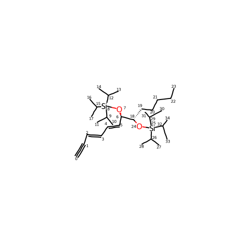 C#C/C=C/C=C/[C@@H](O[Si](C(C)C)(C(C)C)C(C)C)[C@H](CCCCC)O[Si](C(C)C)(C(C)C)C(C)C